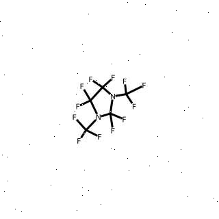 FC(F)(F)N1C(F)(F)N(C(F)(F)F)C(F)(F)C1(F)F